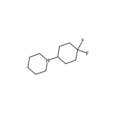 FC1(F)CCC(N2CC[CH]CC2)CC1